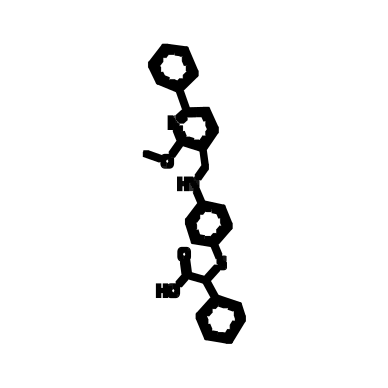 COc1nc(-c2ccccc2)ccc1CNc1ccc(SC(C(=O)O)c2ccccc2)cc1